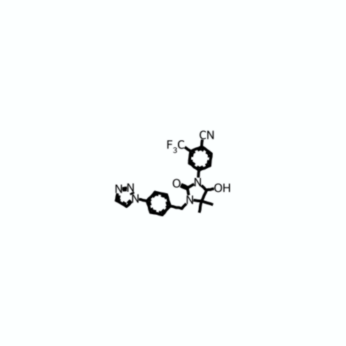 CC1(C)C(O)N(c2ccc(C#N)c(C(F)(F)F)c2)C(=O)N1Cc1ccc(-n2ccnn2)cc1